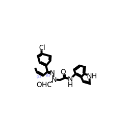 C/C=C\C(=N/N(C=O)CC(=O)Nc1cccc2[nH]ccc12)c1ccc(Cl)cc1